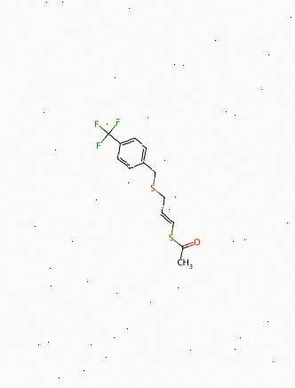 CC(=O)SC=CCSCc1ccc(C(F)(F)F)cc1